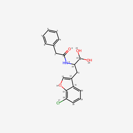 O=C(Cc1ccccc1)NC(Cc1coc2c(Cl)cccc12)B(O)O